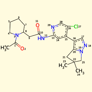 CC(=O)N1CCCCC1CC(=O)Nc1cc(-c2cnn3c2CC(C)(C)C3)c(Cl)cn1